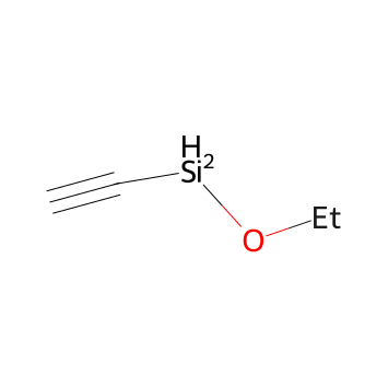 C#C[SiH2]OCC